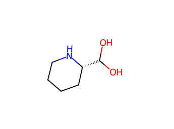 OC(O)[C@@H]1CCCCN1